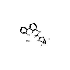 Cl.O=C(Nc1cccc(-c2ccccc2Cl)c1F)[C@@H]1C[C@H]2C[C@H]2N1